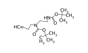 C#CCCN(CCNC(=O)OC(C)(C)C)C(=O)OC(C)(C)C